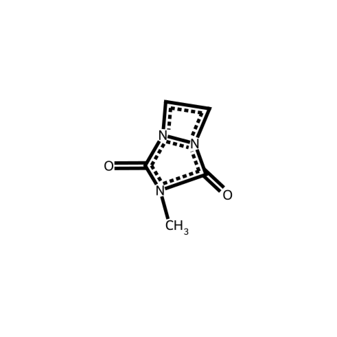 Cn1c(=O)n2ccn2c1=O